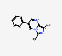 Cc1nc(C#N)c2ncc(-c3ccccc3)cn12